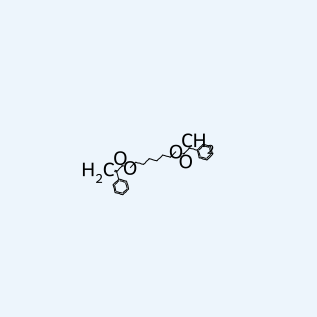 C=C(C(=O)OCCCCCCOC(=O)C(=C)c1ccccc1)c1ccccc1